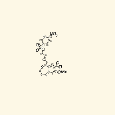 COC1=CC2CCCSC(COCCOS(=O)(=O)c3ccc([N+](=O)[O-])cc3)C2=CC1(Cl)Cl